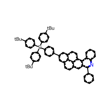 CC(C)(C)c1ccc([Si](c2ccc(-c3cc4ccc5cc6c(-c7ccccc7)nc7ccccc7c6c6ccc(c3)c4c56)cc2)(c2ccc(C(C)(C)C)cc2)c2ccc(C(C)(C)C)cc2)cc1